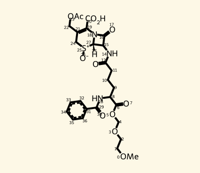 COCCOCOC(=O)C(CCCC(=O)NC1C(=O)N2C(C(=O)O)=C(COC(C)=O)C[S+]([O-])[C@@H]12)NC(=O)c1ccccc1